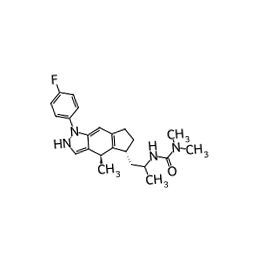 CC(C[C@H]1CCC2=C1[C@@H](C)C1=CNN(c3ccc(F)cc3)C1=C2)NC(=O)N(C)C